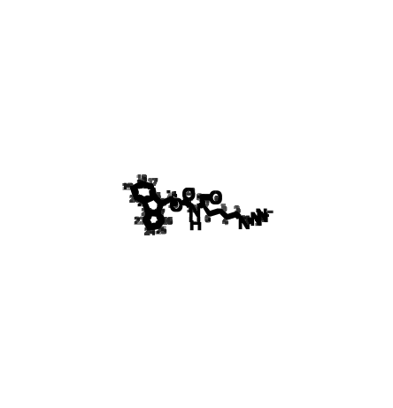 [N-]=[N+]=NCCCC[C@H](C=O)NC(=O)OCC1c2ccccc2-c2ccccc21